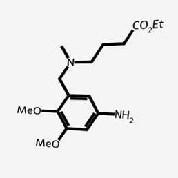 CCOC(=O)CCCN(C)Cc1cc(N)cc(OC)c1OC